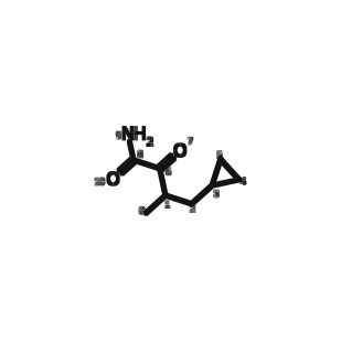 CC(CC1CC1)C(=O)C(N)=O